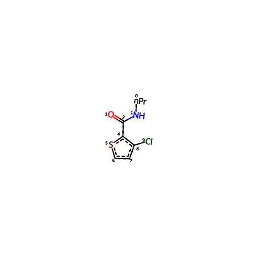 CCCNC(=O)c1sccc1Cl